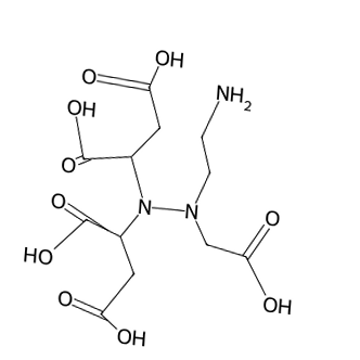 NCCN(CC(=O)O)N(C(CC(=O)O)C(=O)O)C(CC(=O)O)C(=O)O